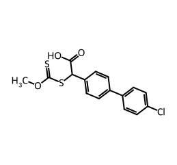 COC(=S)SC(C(=O)O)c1ccc(-c2ccc(Cl)cc2)cc1